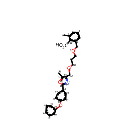 Cc1cccc(COCCCOCc2nc(-c3ccc(Oc4ccccc4)cc3)oc2C)c1C(=O)O